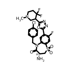 CN1CCC(F)(F)C(c2nnc(-c3cc4c(cc3F)S(=O)(=O)C[C@H](N)C(=O)N4Cc3ccc(Cl)cc3)o2)C1